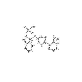 CCCS(=O)(=O)Cc1nc2ccccc2n1Cc1ccc(-c2ccccc2C(=O)O)cc1